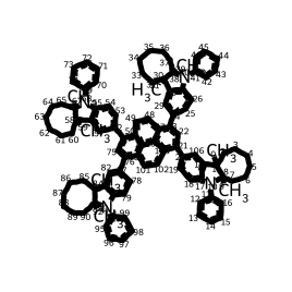 CC12CCCCCCC1(C)N(c1ccccc1)c1ccc(-c3cc(-c4ccc5c(c4)C4(C)CCCCCCC4(C)N5c4ccccc4)c4ccc5c(-c6ccc7c(c6)C6(C)CCCCCCC6(C)N7c6ccccc6)cc(-c6ccc7c(c6)C6(C)CCCCCCC6(C)N7c6ccccc6)c6ccc3c4c65)cc12